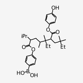 CCC(C)(C)CC(C(=O)Oc1ccc(O)cc1)C(C)(CC)C(C)CC(C(=O)Oc1ccc(B(O)O)cc1)C(C)C